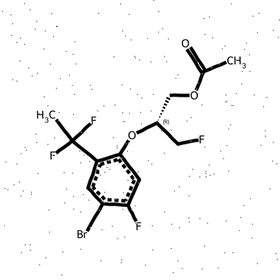 CC(=O)OC[C@H](CF)Oc1cc(F)c(Br)cc1C(C)(F)F